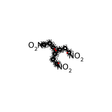 O=[N+]([O-])c1ccc(-c2cccc(-c3ccc(N(c4ccc(-c5cccc(-c6ccc([N+](=O)[O-])cc6)c5)cc4)c4ccc(-c5cccc(-c6ccc([N+](=O)[O-])cc6)c5)cc4)cc3)c2)cc1